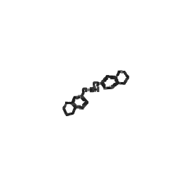 B(Oc1ccc2c(c1)CCCC2)Oc1ccc2c(c1)CCCC2